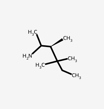 CCC(C)(C)[C@H](C)C(C)N